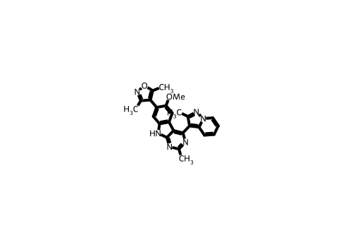 COc1cc2c(cc1-c1c(C)noc1C)[nH]c1nc(C)nc(-c3c(C)nn4ccccc34)c12